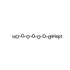 CCCCCCCOCCOCCOCCOCCOCCOCCO